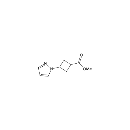 COC(=O)C1CC(n2cccn2)C1